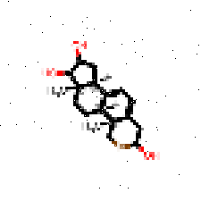 C[C@]12CSC(O)CC1=CC=C1[C@H]2CC[C@]2(C)C(O)C(O)C[C@@H]12